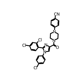 N#Cc1ccc(N2CCN(C(=O)c3cn(-c4ccc(Cl)cc4)c(-c4ccc(Cl)cc4Cl)n3)CC2)cc1